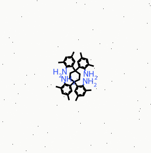 Cc1cc(C)c(N)c(C2(c3cc(C)cc(C)c3N)CCC(c3cc(C)cc(C)c3N)(c3cc(C)cc(C)c3N)CC2)c1